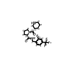 O=C(NCc1ccc(C(F)(F)F)cc1F)[C@H]1CCCN1C(=O)[C@H]1CCCNC1